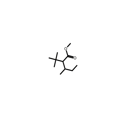 CCC(C)C(C(=O)OC)C(C)(C)C